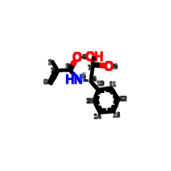 C=C(C)C(=O)N[C@H](C(=O)O)c1ccccc1